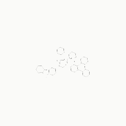 c1cncc(-c2ccccc2-c2nc(-c3ccc4sc5ccccc5c4c3)cc(-c3ccc4c5ccccc5c5ccccc5c4c3)n2)c1